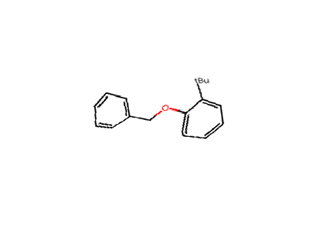 CC(C)(C)c1ccccc1OCc1ccccc1